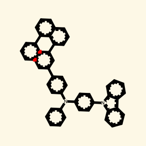 c1ccc(-c2cccc3cccc(-c4cccc(-c5ccc(N(c6ccccc6)c6ccc(-n7c8ccccc8c8ccccc87)cc6)cc5)c4)c23)cc1